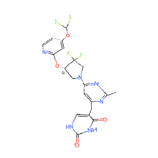 Cc1nc(-c2c[nH]c(=O)[nH]c2=O)cc(N2C[C@H](Oc3cc(OC(F)F)ccn3)C(F)(F)C2)n1